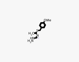 C=C(/N=C\NN)SCc1ccc(OC)cc1